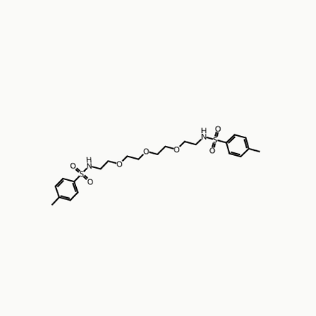 Cc1ccc(S(=O)(=O)NCCOCCOCCOCCNS(=O)(=O)c2ccc(C)cc2)cc1